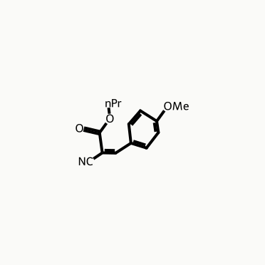 CCCOC(=O)C(C#N)=Cc1ccc(OC)cc1